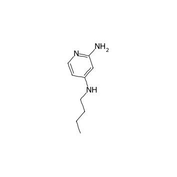 CCCCNc1ccnc(N)c1